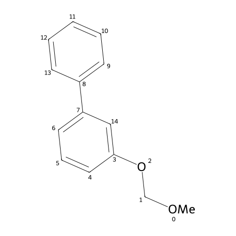 COCOc1cccc(-c2ccccc2)c1